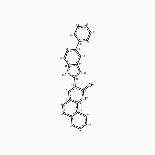 O=c1oc2c(ccc3ccccc32)cc1-c1nc2cc(-c3ccccc3)ccc2o1